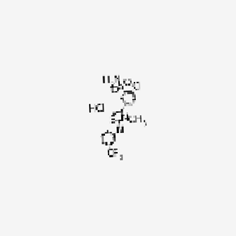 Cl.Cn1c(-c2ccc(Cl)c(S(N)(=O)=O)c2)csc1=Nc1cccc(C(F)(F)F)c1